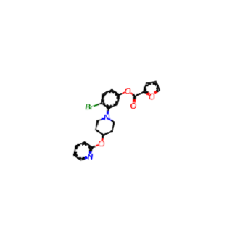 O=C(Oc1ccc(Br)c(N2CCC(Oc3ccccn3)CC2)c1)c1ccco1